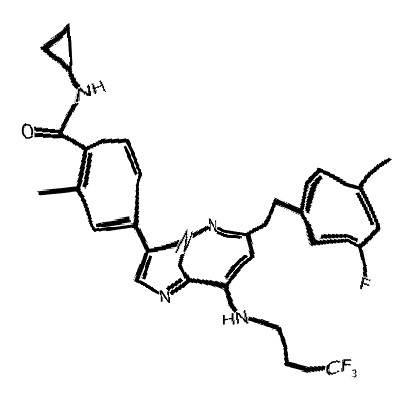 Cc1cc(F)cc(Cc2cc(NCCC(F)(F)F)c3ncc(-c4ccc(C(=O)NC5CC5)c(C)c4)n3n2)c1